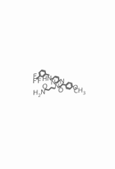 COc1ccc(-c2nc3ccc(NCc4cccc(C(F)(F)F)c4)nc3n(CCCC(N)=O)c2=O)cc1